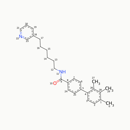 Cc1ccc(-c2ccc(C(=O)NCCCCCCc3cccnc3)cc2)c(C)c1C